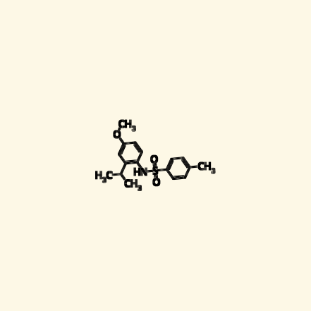 COc1ccc(NS(=O)(=O)c2ccc(C)cc2)c(C(C)C)c1